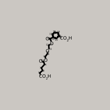 O=C(O)CCCCC(=O)OCCOCCOC(=O)c1cccc(C(=O)O)c1